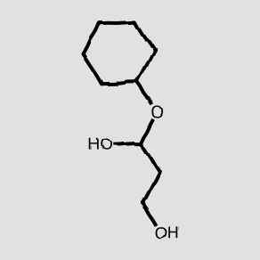 OCCC(O)OC1CCCCC1